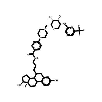 C[C@]12CCC3c4ccc(O)cc4CC(CCCNC(=O)c4ccc(N5CCN(C[C@H]6OC[C@H](Oc7cccc(C(F)(F)F)n7)[C@@H](O)[C@H]6O)CC5)nn4)C3C1CC[C@@H]2O